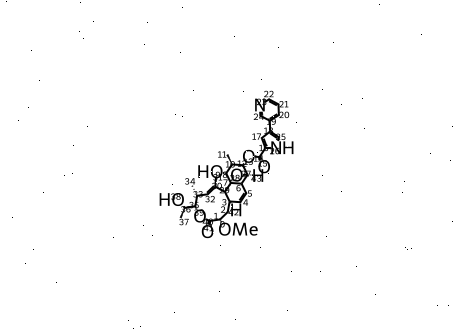 CO[C@H]1C[C@H]2C=CC3C4[C@H](O)[C@@H](C)[C@@H](OC(=O)c5cc(-c6cccnc6)c[nH]5)[C@@H]3O[C@]42/C(C)=C/[C@@H](C)[C@@H]([C@@H](C)O)OC1=O